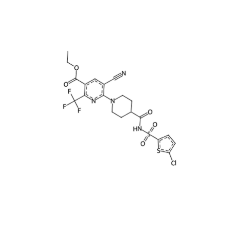 CCOC(=O)c1cc(C#N)c(N2CCC(C(=O)NS(=O)(=O)c3ccc(Cl)s3)CC2)nc1C(F)(F)F